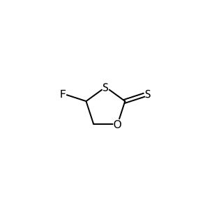 FC1COC(=S)S1